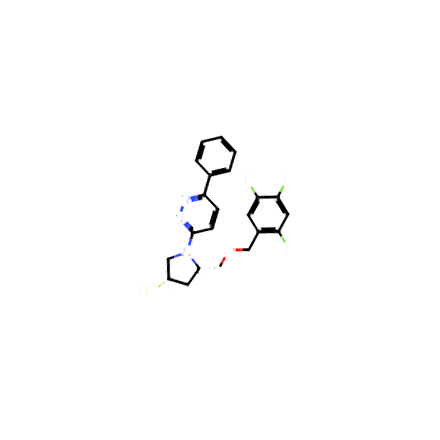 Fc1cc(F)c(COC[C@@H]2C[C@@H](S)CN2c2ccc(-c3ccccc3)nn2)cc1F